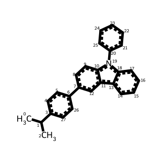 CC(C)c1ccc(-c2ccc3c(c2)c2ccccc2n3-c2ccccc2)cc1